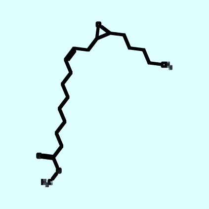 CCCCCC1OC1C/C=C\CCCCCCCC(=O)OC